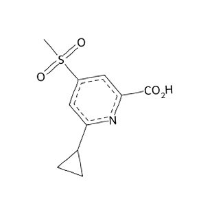 CS(=O)(=O)c1cc(C(=O)O)nc(C2CC2)c1